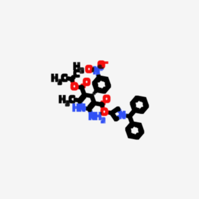 CC1=C(C(=O)OC(C)C)[C@H](c2cccc([N+](=O)[O-])c2)C(C(=O)OC2CN(C(c3ccccc3)c3ccccc3)C2)=C(N)N1